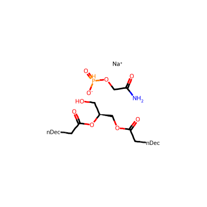 CCCCCCCCCCCC(=O)OC[C@H](CO)OC(=O)CCCCCCCCCCC.NC(=O)CO[PH](=O)[O-].[Na+]